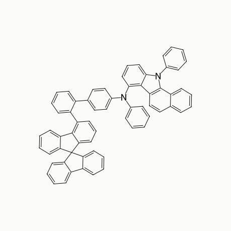 c1ccc(N(c2ccc(-c3ccccc3-c3cccc4c3-c3ccccc3C43c4ccccc4-c4ccccc43)cc2)c2cccc3c2c2ccc4ccccc4c2n3-c2ccccc2)cc1